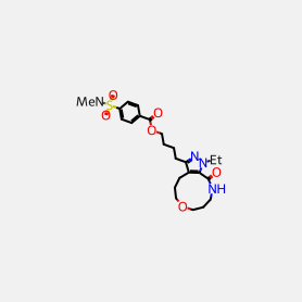 CCn1nc(CCCCOC(=O)c2ccc(S(=O)(=O)NC)cc2)c2c1C(=O)NCCCOCCC2